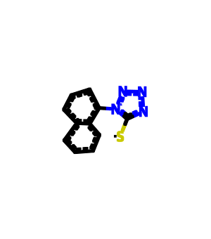 [S]c1nnnn1-c1cccc2ccccc12